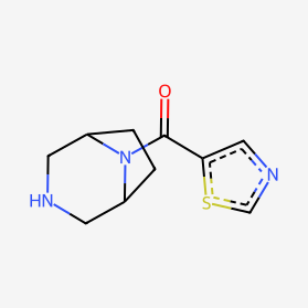 O=C(c1cncs1)N1C2CCC1CNC2